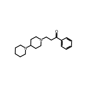 O=C(CCN1CCC(N2CCCCC2)CC1)c1ccccc1